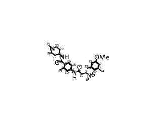 COc1cc(C)c(SN(C)CCC(=O)Nc2ccc(C(=O)NC3CCN(C)CC3)c(C)c2)c(C)c1